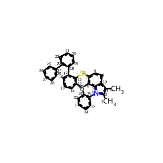 Cc1c(C)n2c3c4c(ccc13)Sc1c(cccc1-c1ccccc1-c1ccccc1)B4c1ccccc1-2